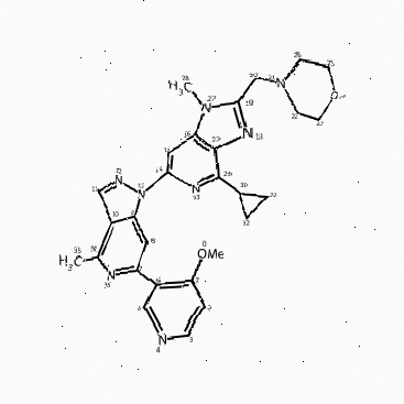 COc1ccncc1-c1cc2c(cnn2-c2cc3c(nc(CN4CCOCC4)n3C)c(C3CC3)n2)c(C)n1